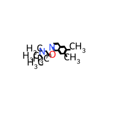 CCc1cc2ccnc(O[C@H](C)CN(C)C(C)CC)c2cc1C